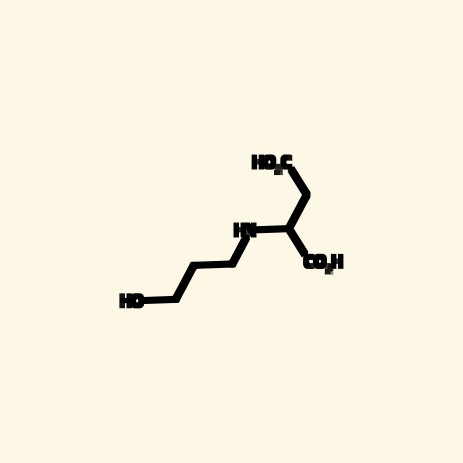 O=C(O)CC(NCCCO)C(=O)O